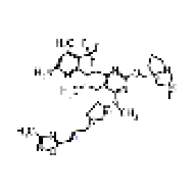 Cc1noc(/C=C/CN2CC[C@@H](N(C)c3nc(OC[C@@]45CCCN4C[C@H](F)C5)nc4c3CC(C)C(c3nc(N)cc(C)c3C(F)(F)F)C4)C2)n1